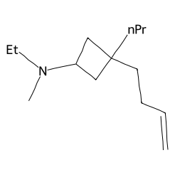 C=CCCC1(CCC)CC(N(C)CC)C1